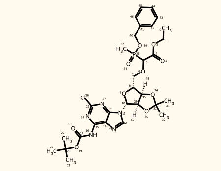 CCOC(=O)C(OC[C@H]1O[C@@H](n2cnc3c(NC(=O)OC(C)(C)C)nc(Cl)nc32)[C@@H]2OC(C)(C)O[C@@H]21)P(C)(=O)OCc1ccccc1